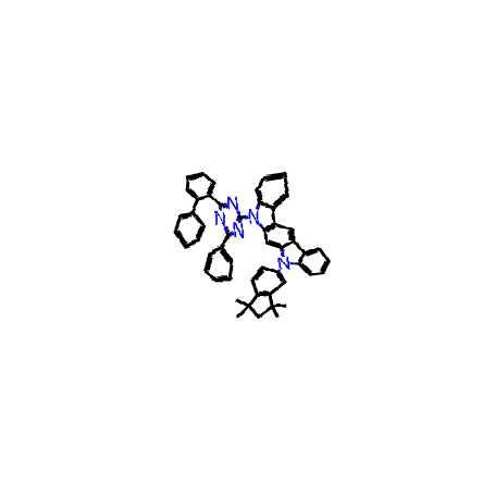 CC1(C)CC(C)(C)c2cc(-n3c4ccccc4c4cc5c6ccccc6n(-c6nc(-c7ccccc7)nc(-c7ccccc7-c7ccccc7)n6)c5cc43)ccc21